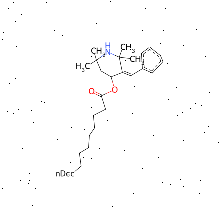 CCCCCCCCCCCCCCCCCC(=O)OC1CC(C)(C)NC(C)(C)/C1=C\c1ccccc1